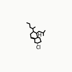 CCCC(C)C1CC=C2C[C@@H](Cl)CC[C@@H]2C1CC(C)C